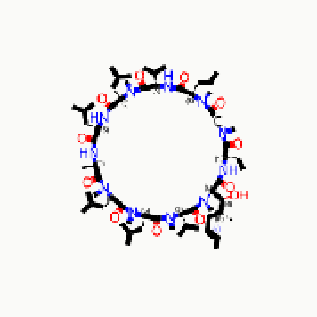 C/C=C/C[C@@H](C)[C@@H](O)[C@H]1C(=O)N[C@@H](CC)C(=O)N(C)CC(=O)N(C)[C@@H](CCC)C(=O)N[C@@H](C(C)C)C(=O)N(C)[C@@H](CC(C)C)C(=O)N[C@@H](CC(C)C)C(=O)N[C@H](C)C(=O)N(C)[C@@H](CC(C)C)C(=O)N(C)[C@@H](CC(C)C)C(=O)N(C)[C@@H](C(C)C)C(=O)N1C